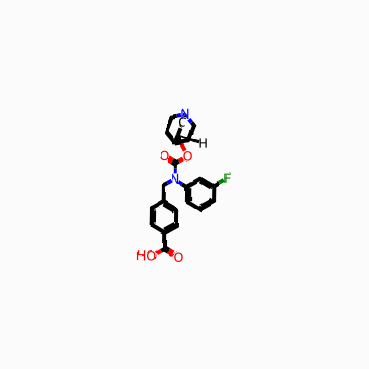 O=C(O)c1ccc(CN(C(=O)O[C@H]2CN3CCC2CC3)c2cccc(F)c2)cc1